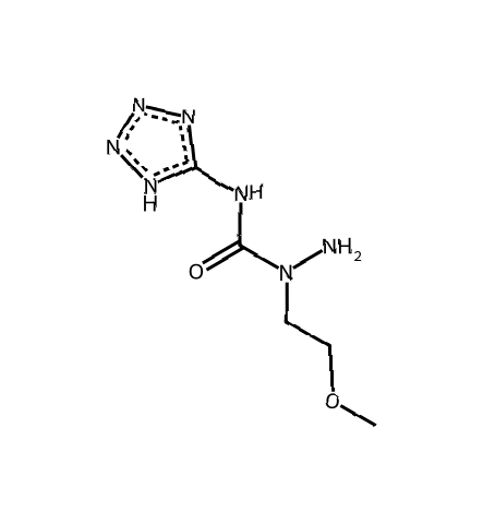 COCCN(N)C(=O)Nc1nnn[nH]1